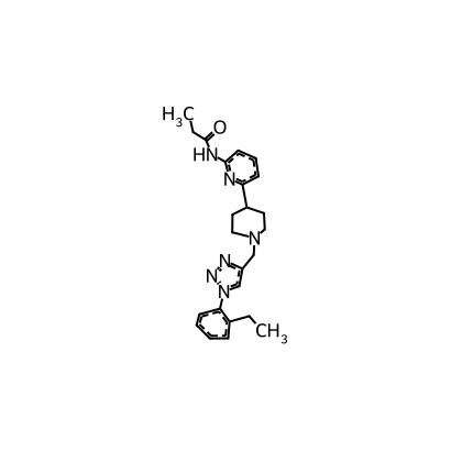 CCC(=O)Nc1cccc(C2CCN(Cc3cn(-c4ccccc4CC)nn3)CC2)n1